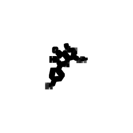 CCCc1nn(C)c2c(=O)[nH]c(-c3ccc(C(C)C)cc3)nc12